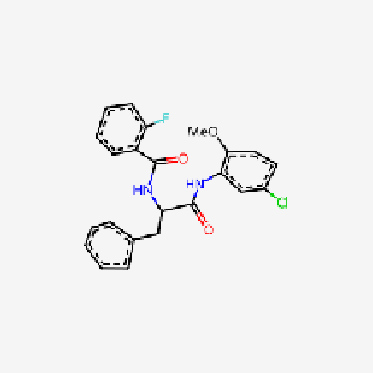 COc1ccc(Cl)cc1NC(=O)C(Cc1ccccc1)NC(=O)c1ccccc1F